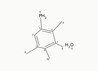 Cc1cc(P)c(C)c(C)c1C.O